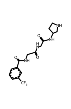 O=C(CNC(=O)c1cccc(C(F)(F)F)c1)NCC(=O)NC1CCNC1